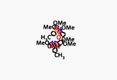 COc1ccc(CN(CC(OC)OC)S(=O)(=O)c2ccc(C)cc2)c(Oc2cccc(C(OC)N(CC(OC)OC)S(=O)(=O)c3ccc(C)cc3)c2)c1OC